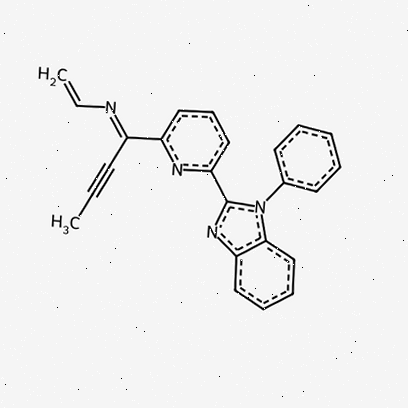 C=C/N=C(\C#CC)c1cccc(-c2nc3ccccc3n2-c2ccccc2)n1